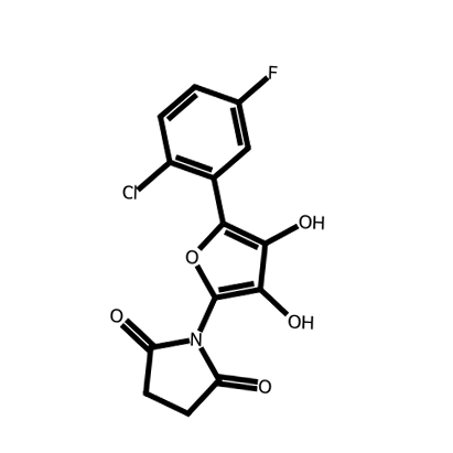 O=C1CCC(=O)N1c1oc(-c2cc(F)ccc2Cl)c(O)c1O